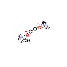 CC(C)C1CC(OC(=O)c2ccc(-c3ccc(C(=O)OC4CC(C(C)C)NC(C)(C)C4)cc3)cc2)CC(C(C)C)N1